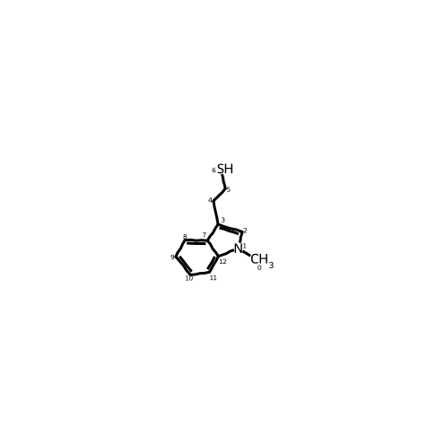 Cn1cc(CCS)c2ccccc21